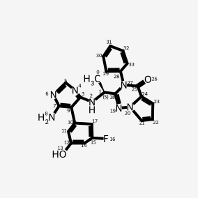 C[C@H](Nc1ncnc(N)c1-c1cc(O)cc(F)c1)c1nn2cccc2c(=O)n1-c1ccccc1